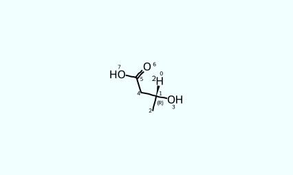 [2H][C@](C)(O)CC(=O)O